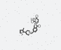 Cc1ccsc1C1=CCN(Cc2ccc3c(c2)CN(N2CCC(=O)NC2=O)C3=O)CC1